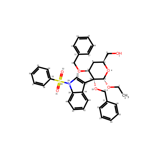 CCO[C@H]1O[C@H](CO)C[C@H](OCc2ccccc2)[C@]1(OCc1ccccc1)c1cn(S(=O)(=O)c2ccccc2)c2ccccc12